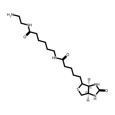 NCCNC(=O)CCCCCNC(=O)CCCCC1SC[C@@H]2NC(=O)N[C@H]12